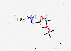 C[Si](C)(C)OC[C@H](CNC(=O)O)O[Si](C)(C)C